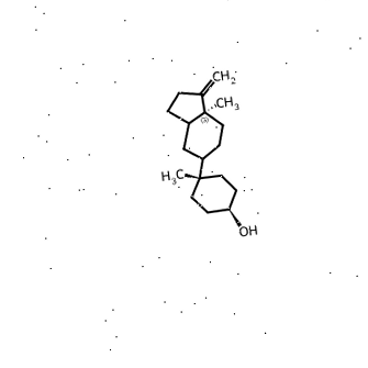 C=C1CCC2CC([C@]3(C)CC[C@@H](O)CC3)CC[C@]12C